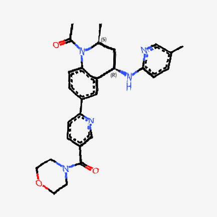 CC(=O)N1c2ccc(-c3ccc(C(=O)N4CCOCC4)cn3)cc2[C@H](Nc2ccc(C)cn2)C[C@@H]1C